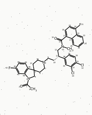 CC(=O)N1CC2(CCN(CC[C@H](CN(C)C(=O)c3ccc(F)c4ccccc34)c3ccc(Cl)c(Cl)c3)CC2)c2ccc(F)cc21